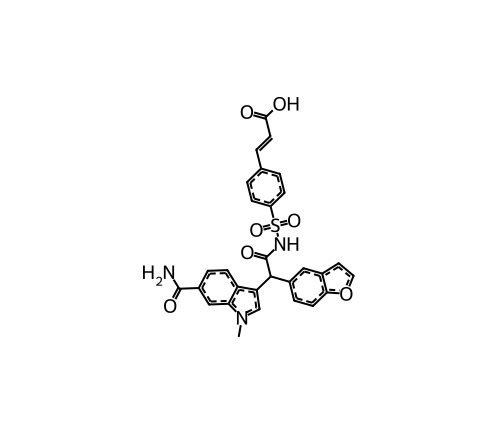 Cn1cc(C(C(=O)NS(=O)(=O)c2ccc(C=CC(=O)O)cc2)c2ccc3occc3c2)c2ccc(C(N)=O)cc21